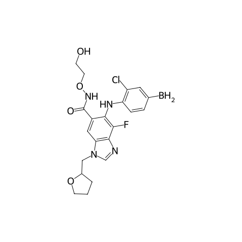 Bc1ccc(Nc2c(C(=O)NOCCO)cc3c(ncn3CC3CCCO3)c2F)c(Cl)c1